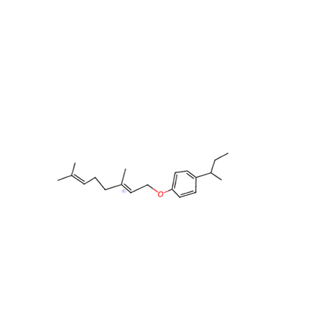 CCC(C)c1ccc(OC/C=C(\C)CCC=C(C)C)cc1